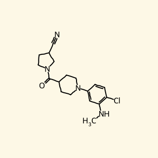 CNc1cc(N2CCC(C(=O)N3CCC(C#N)C3)CC2)ccc1Cl